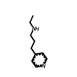 CCNCCCc1ccncc1